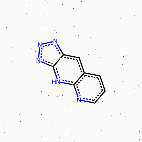 c1cnc2[nH]c3nnnc-3cc2c1